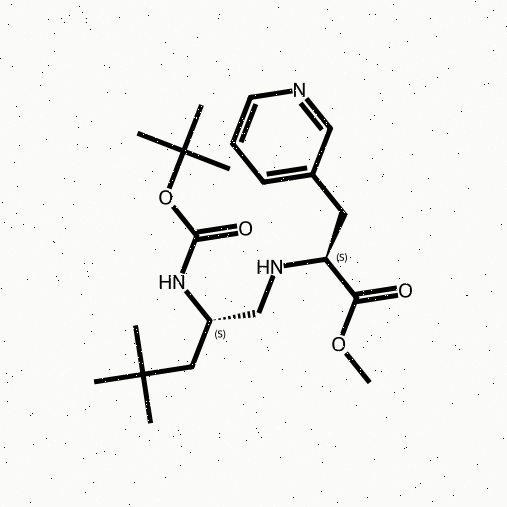 COC(=O)[C@H](Cc1cccnc1)NC[C@H](CC(C)(C)C)NC(=O)OC(C)(C)C